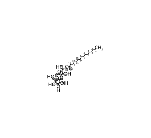 CCCCCCCCCCCCCCCC(=O)OC[C@H](O)[C@H]1OC(=O)C(O[C@H]2O[C@H](CO)[C@@H](O)[C@H](O)[C@H]2O)=C1O